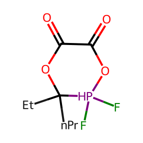 CCCC1(CC)OC(=O)C(=O)O[PH]1(F)F